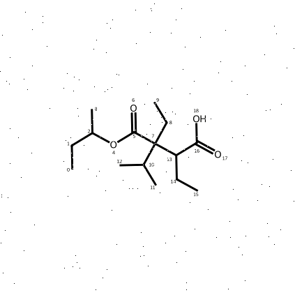 CCC(C)OC(=O)C(CC)(C(C)C)C(CC)C(=O)O